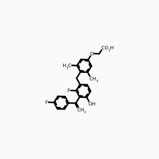 C=C(c1ccc(F)cc1)c1c(O)ccc(Cc2c(C)cc(OCC(=O)O)cc2C)c1F